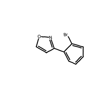 Brc1ccccc1-c1ccon1